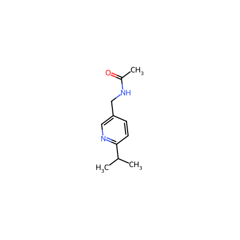 CC(=O)NCc1ccc(C(C)C)nc1